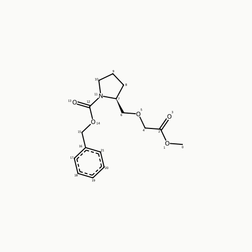 COC(=O)COC[C@@H]1CCCN1C(=O)OCc1ccccc1